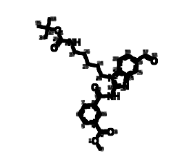 COC(=O)c1cccc(C(=O)Nc2nc3cc(C=O)ccc3n2CCCCCNC(=O)OC(C)(C)C)c1